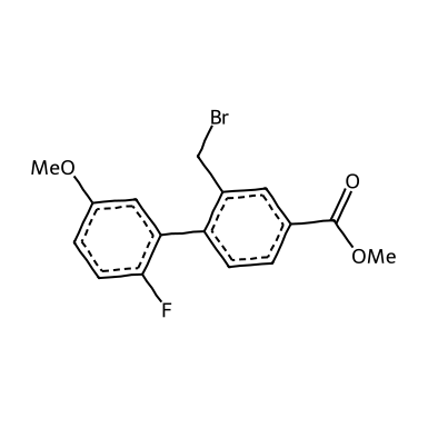 COC(=O)c1ccc(-c2cc(OC)ccc2F)c(CBr)c1